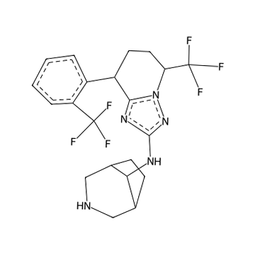 FC(F)(F)c1ccccc1C1CCC(C(F)(F)F)n2nc(NC3C4CCC3CNC4)nc21